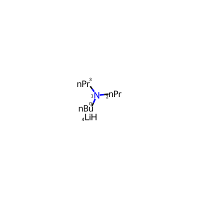 [CH2]CCCN(CCC)CCC.[LiH]